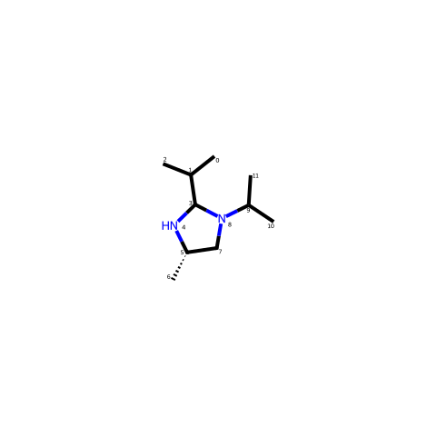 CC(C)C1N[C@@H](C)CN1C(C)C